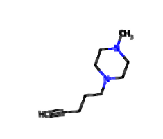 C#CCCCN1CCN(C)CC1